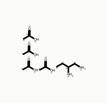 CC(=O)O.CC(=O)O.CC(=O)O.CC(=O)O.CCC(N)CN